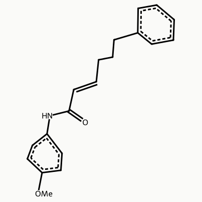 COc1ccc(NC(=O)C=CCCCc2ccccc2)cc1